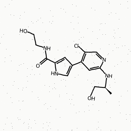 C[C@@H](CO)Nc1cc(-c2c[nH]c(C(=O)NCCO)c2)c(Cl)cn1